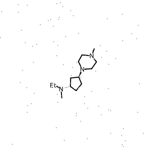 CCN(C)[C@H]1CC[C@H](N2CCN(C)CC2)C1